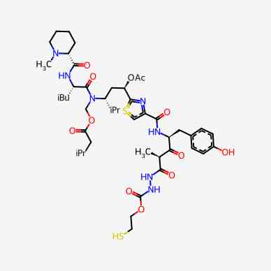 CCC(C)[C@H](NC(=O)[C@H]1CCCCN1C)C(=O)N(COC(=O)CC(C)C)[C@H](C[C@@H](OC(C)=O)c1nc(C(=O)N[C@@H](Cc2ccc(O)cc2)C(=O)[C@H](C)C(=O)NNC(=O)OCCS)cs1)C(C)C